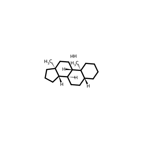 C[C@@]12CCC[C@H]1[C@@H]1CC[C@H]3CCCC[C@]3(C)[C@H]1CC2.[HH]